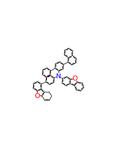 C1=Cc2oc3cccc(-c4ccc(N(c5ccc6c(c5)oc5ccccc56)c5cc(-c6cccc7ccccc67)ccc5-c5ccccc5)cc4)c3c2CC1